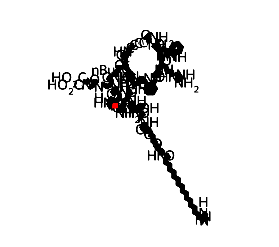 CCCC[C@H](NC(=O)C(CCNC(=O)CN(CC(=O)O)CC(=O)O)NC(=O)C(Cc1c[nH]cn1)NC(=O)C(CCC(N)=O)NC(=O)C(CO)NC(=O)CNC(=O)COCCOCCNC(=O)CCCCCCCCCCCCCCCc1nnn[nH]1)C(=O)NC1CCC(=O)NCCCCC(C(N)=O)NC(=O)C(Cc2c[nH]c3ccccc23)NC(=O)C(CCCNC(=N)N)NC(=O)[C@@H](Cc2ccccc2)NC(=O)C2C[C@@H](O)CN2C1=O